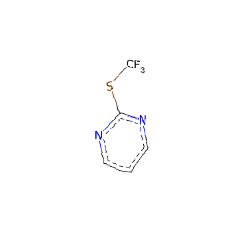 FC(F)(F)Sc1ncccn1